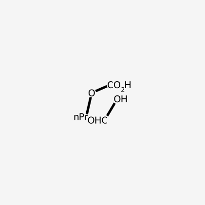 CCCOC(=O)O.O=CO